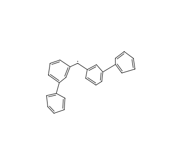 [CH](c1cccc(-c2ccccc2)c1)c1cccc(-c2ccccc2)c1